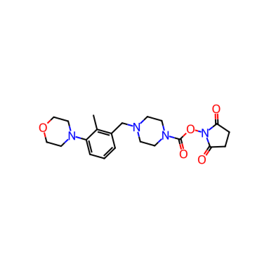 Cc1c(CN2CCN(C(=O)ON3C(=O)CCC3=O)CC2)cccc1N1CCOCC1